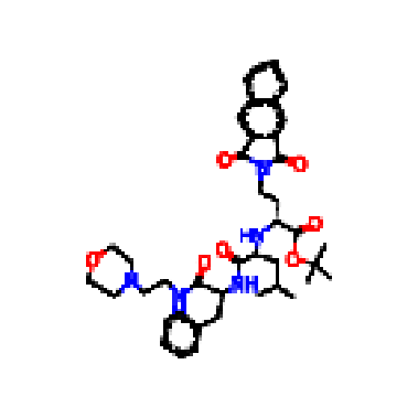 CC(C)C[C@H](N[C@H](CCN1C(=O)c2cc3ccccc3cc2C1=O)C(=O)OC(C)(C)C)C(=O)N[C@@H](Cc1ccccc1)C(=O)NCCN1CCOCC1